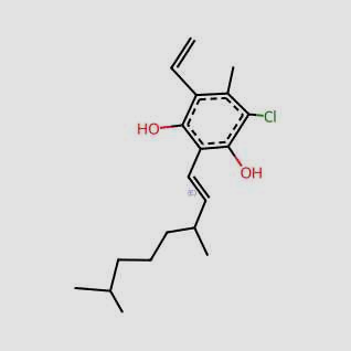 C=Cc1c(C)c(Cl)c(O)c(/C=C/C(C)CCCC(C)C)c1O